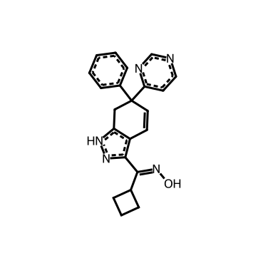 ON=C(c1n[nH]c2c1C=CC(c1ccccc1)(c1ccncn1)C2)C1CCC1